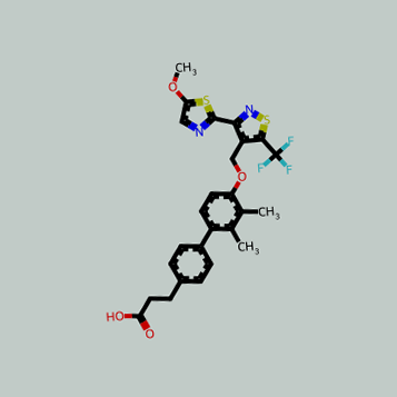 COc1cnc(-c2nsc(C(F)(F)F)c2COc2ccc(-c3ccc(CCC(=O)O)cc3)c(C)c2C)s1